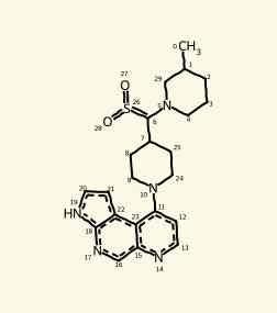 CC1CCCN(C(C2CCN(c3ccnc4cnc5[nH]ccc5c34)CC2)=S(=O)=O)C1